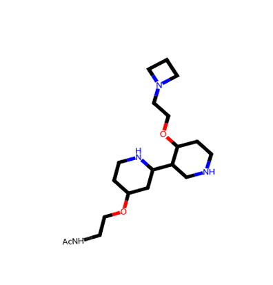 CC(=O)NCCOC1CCNC(C2CNCCC2OCCN2CCC2)C1